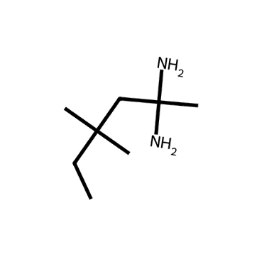 CCC(C)(C)CC(C)(N)N